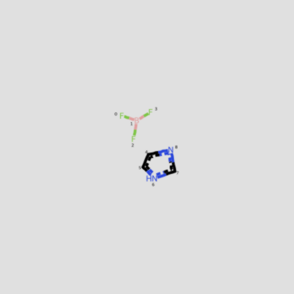 FB(F)F.c1c[nH]cn1